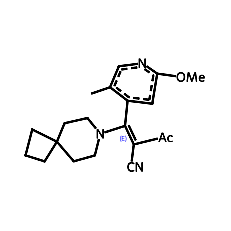 COc1cc(/C(=C(/C#N)C(C)=O)N2CCC3(CCC3)CC2)c(C)cn1